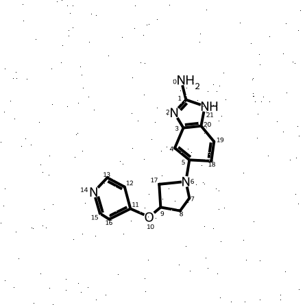 Nc1nc2cc(N3CCC(Oc4ccncc4)C3)ccc2[nH]1